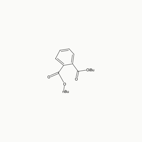 CCCCOC(=O)c1ccccc1C(=O)OCC(C)C